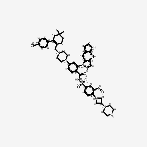 CC1(C)CCC(CN2CCN(c3ccc(C(=O)NS(=O)(=O)c4ccc(N5CC(N6CCOCC6)C5)c(N=O)c4)c(-n4ncc5nc6[nH]ccc6cc54)c3)CC2)=C(c2ccc(Cl)cc2)C1